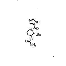 CC(C)(C)C1C(OC(N)=O)CCCN1C(=O)c1cnc[nH]1